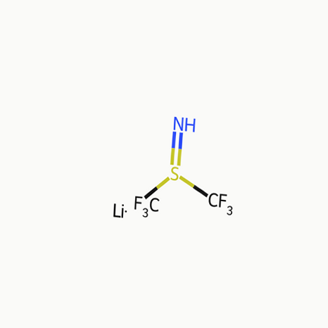 N=S(C(F)(F)F)C(F)(F)F.[Li]